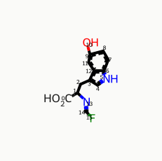 O=C(O)C(Cc1c[nH]c2ccc(O)cc12)N=CF